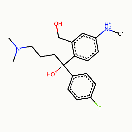 [CH2-][NH2+]c1ccc([C@](O)(CCCN(C)C)c2ccc(F)cc2)c(CO)c1